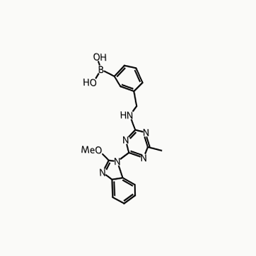 COc1nc2ccccc2n1-c1nc(C)nc(NCc2cccc(B(O)O)c2)n1